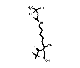 CC(C)(C)OC(=O)NCCCCCC(O)N(CCO)C(=O)C(F)(F)F